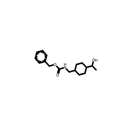 CC(O)C1CCC(CNC(=O)OCc2ccccc2)CC1